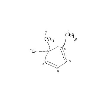 [Li][C]1(C)C=CC=C1C